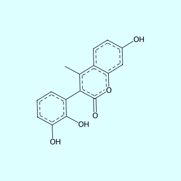 Cc1c(-c2cccc(O)c2O)c(=O)oc2cc(O)ccc12